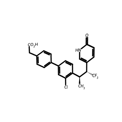 C[C@@H](c1ccc(-c2ccc(CC(=O)O)cc2)cc1Cl)[C@H](c1ccc(=O)[nH]c1)C(F)(F)F